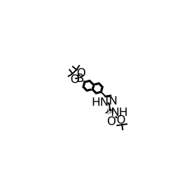 C[C@H](NC(=O)OC(C)(C)C)c1ncc(-c2ccc3cc(B4OC(C)(C)C(C)(C)O4)ccc3c2)[nH]1